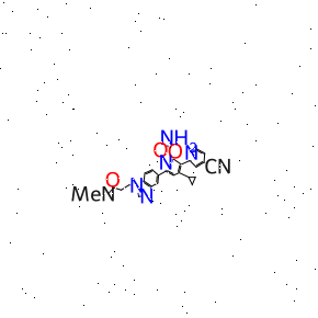 CNC(=O)CCn1cnc2cc(-c3cc(C4CC4)c(-c4cc(C#N)ccn4)c(OC(N)=O)n3)ccc21